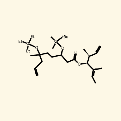 C=CCC(C)(CCC(CC(=O)O[C@H](/C(C)=C/I)[C@@H](C)C=C)O[Si](C)(C)C(C)(C)C)O[Si](CC)(CC)CC